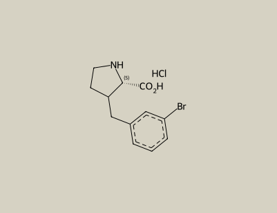 Cl.O=C(O)[C@H]1NCCC1Cc1cccc(Br)c1